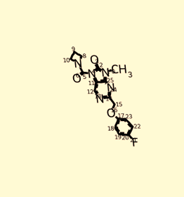 Cn1c(=O)n(C(=O)N2CCC2)c2cnc(COc3ccc(F)cc3)nc21